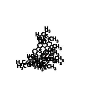 Cc1cc(C(c2cc(C)cc(C(C)(C)CC(C)(C)C)c2O)c2cccc3c2sc2c(C(c4cc(C)cc(C(C)(C)CC(C)(C)C)c4O)c4cc(C)cc(C(C)(C)CC(C)(C)C)c4O)cccc23)c(O)c(C(C)(C)CC(C)(C)C)c1